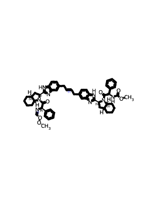 COO/C=N\[C@@H](C(=O)N1[C@H](c2nc3cc(C/C=C/Cc4ccc5[nH]c([C@@H]6C[C@@H]7CCCC[C@@H]7N6C(=O)[C@H](NC(=O)OC)c6ccccc6)nc5c4)ccc3[nH]2)C[C@@H]2CCCC[C@@H]21)c1ccccc1